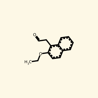 CCOc1ccc2ccccc2c1C[C]=O